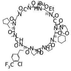 CC[C@H](C)[C@@H]1NC(=O)[C@H](CC)N(C)C(=O)C[C@@H](C(=O)N2C3CCC2COC3)N(C)C(=O)[C@H](C2CCCCC2)N(C)C(=O)C2(CCCC2)NC(=O)[C@@H]2CCCN2C(=O)[C@H](CCc2ccc(C(F)(F)F)c(Cl)c2)NC(=O)CN(C)C(=O)[C@H](CC2CCCC2)N(C)C(=O)CN(C)C(=O)CN(C)C1=O